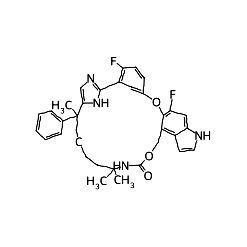 CC1(C)CCCCC(C)(c2ccccc2)c2cnc([nH]2)-c2cc(ccc2F)Oc2c(F)cc3[nH]ccc3c2COC(=O)N1